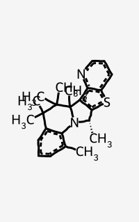 Cc1cccc2c1N1[C@@H](C)c3sc4cccnc4c3C1(C)C(C)(C)C2(C)C